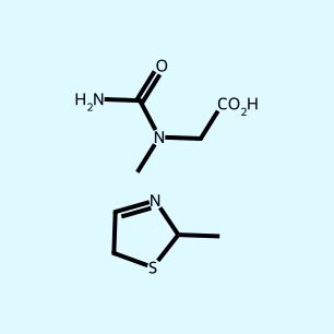 CC1N=CCS1.CN(CC(=O)O)C(N)=O